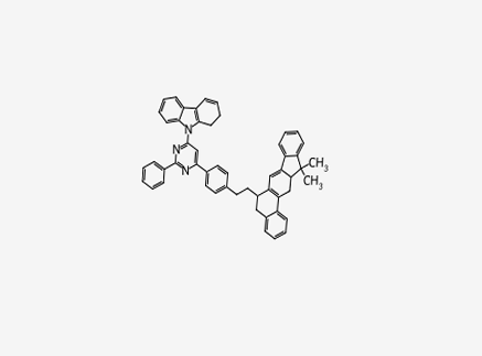 CC1(C)c2ccccc2C2=CC3=C(CC21)c1ccccc1CC3CCc1ccc(-c2cc(-n3c4c(c5ccccc53)C=CCC4)nc(-c3ccccc3)n2)cc1